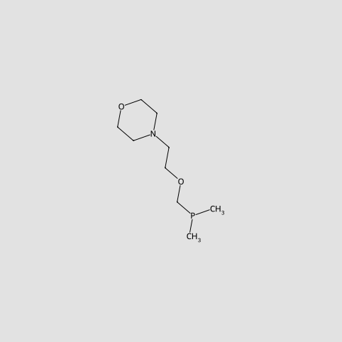 CP(C)COCCN1CCOCC1